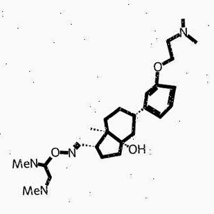 CNCC(NC)ON=C[C@H]1CC[C@]2(O)C[C@@H](c3cccc(OCCN(C)C)c3)CC[C@]12C